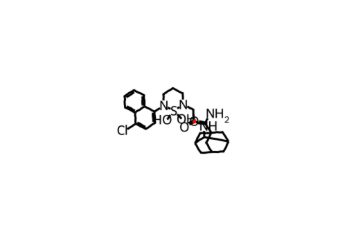 NC(=O)C12CC3CC(C1)C(NC(=O)CN1CCCN(c4ccc(Cl)c5ccccc45)S1(O)O)C(C3)C2